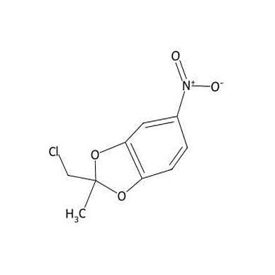 CC1(CCl)Oc2ccc([N+](=O)[O-])cc2O1